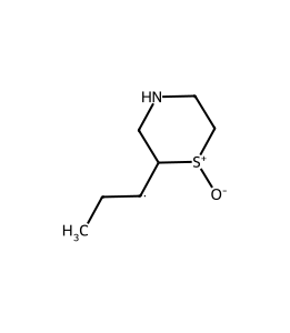 CC[CH]C1CNCC[S+]1[O-]